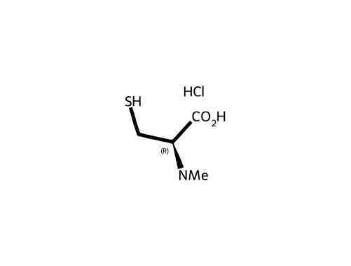 CN[C@@H](CS)C(=O)O.Cl